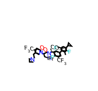 CCOC(=O)C[C@H](NC(=O)C(CC(C)C)n1cc(CCN2CCC2)c(C(F)(F)F)cc1=O)c1c(F)c(-c2c(C)cc(C3CC3)c(F)c2C)cc(C(F)(F)F)c1F